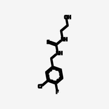 OCCNC(=S)NCc1ccc(F)c(Cl)c1